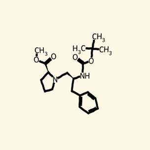 COC(=O)[C@@H]1CCCN1C[C@H](Cc1ccccc1)NC(=O)OC(C)(C)C